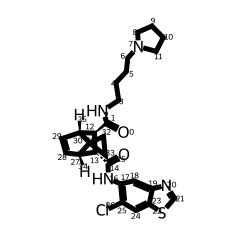 O=C(NCCCCN1CCCC1)[C@H]1[C@H](C(=O)Nc2cc3ncsc3cc2Cl)[C@@H]2C=C[C@H]1C21CC1